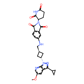 COc1cnc2c(c1)c(C1CC1)nn2[C@H]1C[C@H](CNc2ccc3c(c2)C(=O)N(C2CCC(=O)NC2=O)C3=O)C1